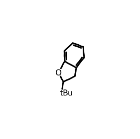 CC(C)(C)C1Cc2ccccc2O1